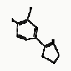 Fc1cc(C2=NCCC2)ccc1I